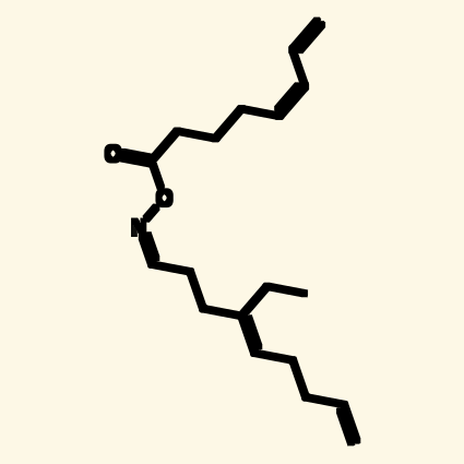 C=C/C=C\CCCC(=O)O/N=C\CC/C(=C/CCC=C)CC